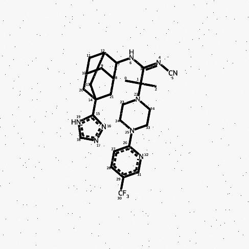 CC(C)(/C(=N\C#N)NC1C2CC3CC1CC(c1nnc[nH]1)(C3)C2)N1CCN(c2ccc(C(F)(F)F)cn2)CC1